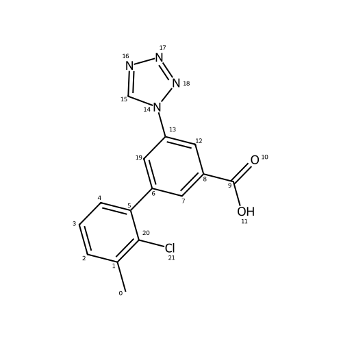 Cc1cccc(-c2cc(C(=O)O)cc(-n3cnnn3)c2)c1Cl